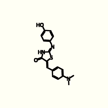 CN(C)c1ccc(/C=C2\S/C(=N/c3ccc(O)cc3)NC2=O)cc1